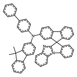 CC1(C)c2ccccc2-c2ccc(N(c3ccc(-c4ccccc4)cc3)c3ccc4c(c3)C3(c5ccccc5-4)c4ccccc4-n4c3nc3ccccc34)cc21